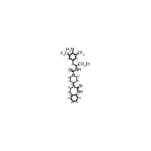 CCOC(=O)[C@@H](Cc1cc(C(F)(F)F)c(N)c(C(F)(F)F)c1)NC(=O)N1CCC(N2CCc3ccccc3NC2=O)CC1